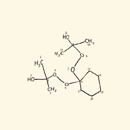 CC(C)(O)OOC1(OOC(C)(C)O)CCCCC1